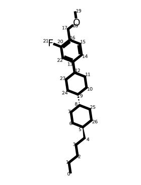 CCCCC[C@H]1CC[C@H](C2CCC(c3ccc(COC)c(F)c3)CC2)CC1